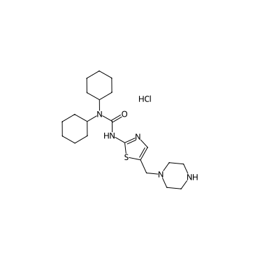 Cl.O=C(Nc1ncc(CN2CCNCC2)s1)N(C1CCCCC1)C1CCCCC1